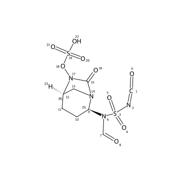 O=C=NS(=O)(=O)N(C=O)[C@H]1CC[C@@H]2CN1C(=O)N2OS(=O)(=O)O